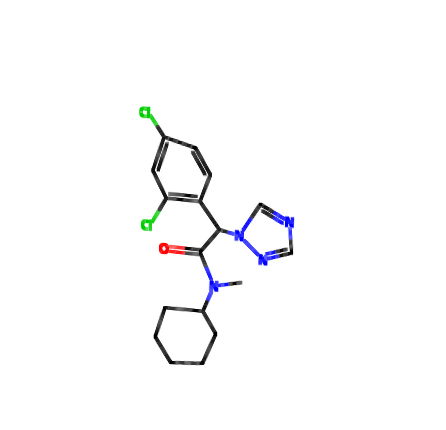 CN(C(=O)C(c1ccc(Cl)cc1Cl)n1cncn1)C1CCCCC1